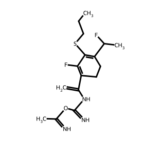 C=C(NC(=N)OC(C)=N)C1=C(F)C(SCCC)=C(C(C)F)CC1